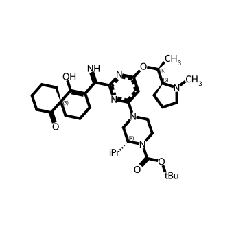 CC(C)[C@@H]1CN(c2cc(O[C@@H](C)[C@@H]3CCCN3C)nc(C(=N)C3=C(O)[C@]4(CCCCC4=O)CCC3)n2)CCN1C(=O)OC(C)(C)C